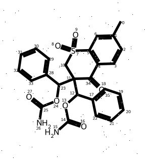 Cc1ccc2c(c1)S(=O)(=O)CC(C(OC(N)=O)c1ccccc1)(C(OC(N)=O)c1ccccc1)C2=O